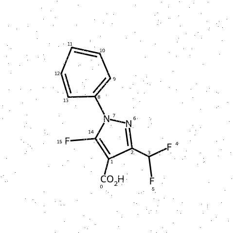 O=C(O)c1c(C(F)F)nn(-c2ccccc2)c1F